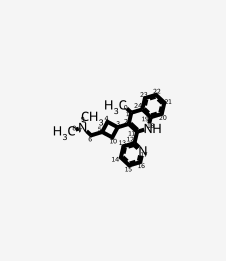 CC1C(C2CC(CN(C)C)C2)=C(c2ccccn2)Nc2c[c]ccc21